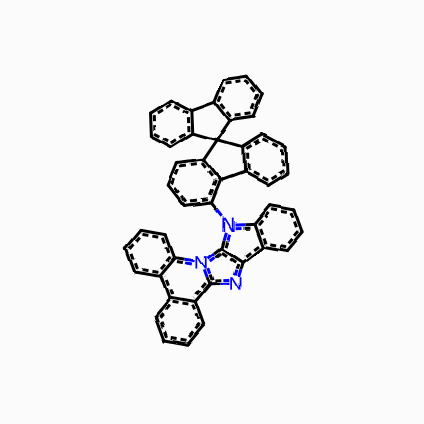 c1ccc2c(c1)-c1ccccc1C21c2ccccc2-c2c(-n3c4ccccc4c4nc5c6ccccc6c6ccccc6n5c43)cccc21